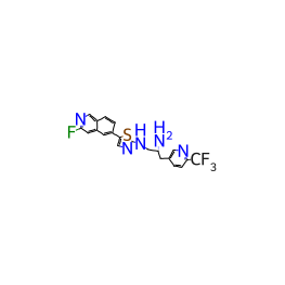 N[C@@H](CNc1ncc(-c2ccc3cnc(F)cc3c2)s1)Cc1ccc(C(F)(F)F)nc1